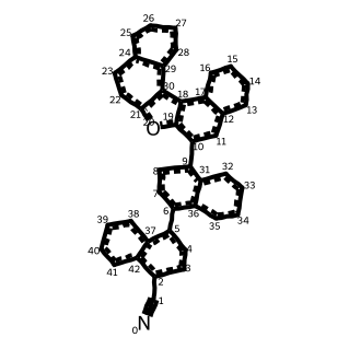 N#Cc1ccc(-c2ccc(-c3cc4ccccc4c4c3oc3ccc5ccccc5c34)c3ccccc23)c2ccccc12